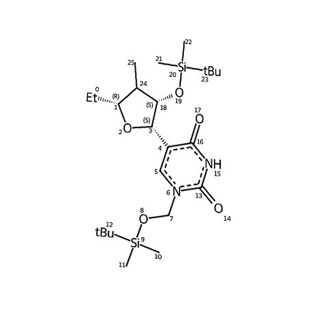 CC[C@H]1O[C@@H](c2cn(CO[Si](C)(C)C(C)(C)C)c(=O)[nH]c2=O)[C@@H](O[Si](C)(C)C(C)(C)C)C1C